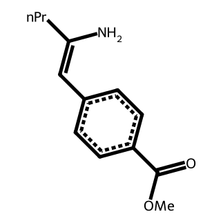 CCCC(N)=Cc1ccc(C(=O)OC)cc1